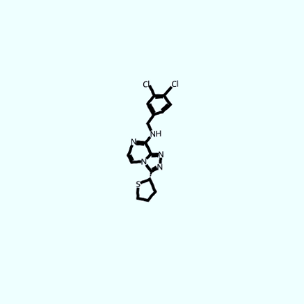 Clc1ccc(CNc2nccn3c([C@@H]4CCCS4)nnc23)cc1Cl